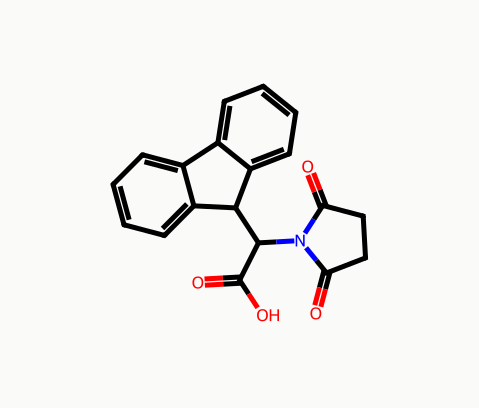 O=C(O)C(C1c2ccccc2-c2ccccc21)N1C(=O)CCC1=O